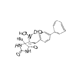 CCCCC1([C@H](Cc2ccc(-c3ccccc3)cc2)N(O)C=O)NC(=O)NC1=O